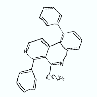 CCOC(=O)c1nc2cccc(-c3ccccc3)c2c2ccnc(-c3ccccc3)c12